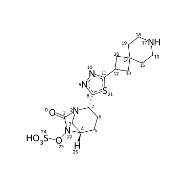 O=C1N2C[C@H](CC[C@H]2c2nnc(C3CC4(CCNCC4)C3)s2)N1OS(=O)(=O)O